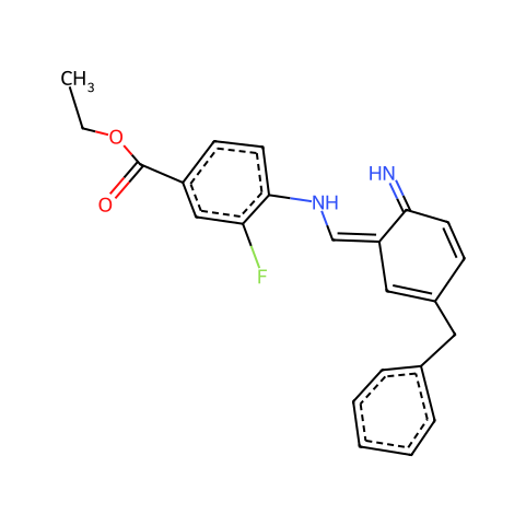 CCOC(=O)c1ccc(N/C=C2/C=C(Cc3ccccc3)C=CC2=N)c(F)c1